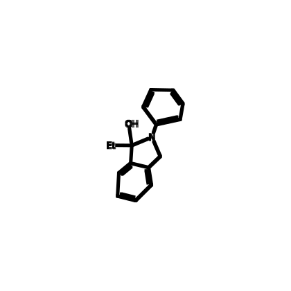 CCC1(O)c2ccccc2CN1c1ccccc1